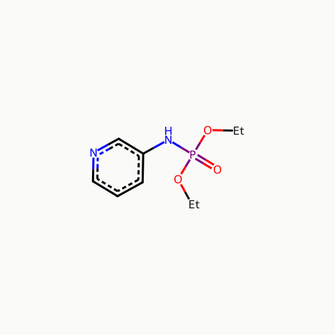 CCOP(=O)(Nc1cccnc1)OCC